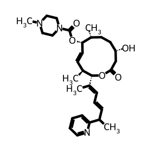 C/C(=C\C=C\C(C)c1ccccn1)[C@H]1OC(=O)C[C@@H](O)CC[C@@H](C)[C@@H](OC(=O)N2CCN(C)CC2)/C=C/[C@@H]1C